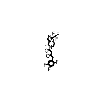 C[C@@H]1c2cnc(C(F)(F)F)n2CCN1C(=O)CC(=O)Cc1cc(F)c(F)cc1F